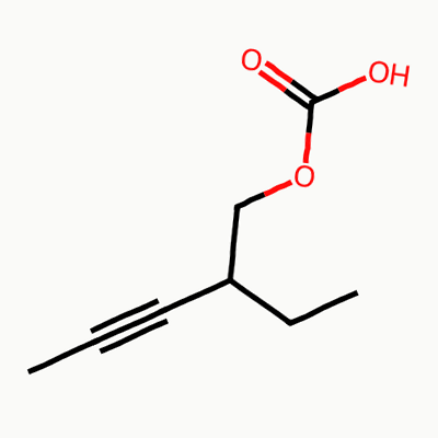 CC#CC(CC)COC(=O)O